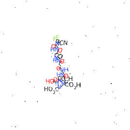 N#C[C@@H]1CC(F)(F)CN1C(=O)CNC(=O)c1ccnc2c(NC(=O)CCC(=O)NCCNC(=O)CCC(C(=O)O)N3CCN(CC(=O)O)CN(CC(O)O)CN(C(=O)O)C3)cccc12